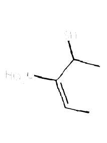 CC=C(C(=O)O)C(C)S